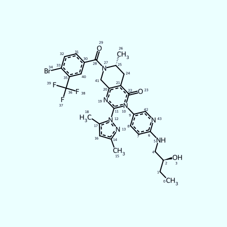 CC[C@H](O)CNc1ccc(-n2c(-n3nc(C)cc3C)nc3c(c2=O)C[C@@H](C)N(C(=O)c2ccc(Br)c(C(F)(F)F)c2)C3)cn1